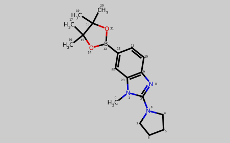 Cn1c(N2CCCC2)nc2ccc(B3OC(C)(C)C(C)(C)O3)cc21